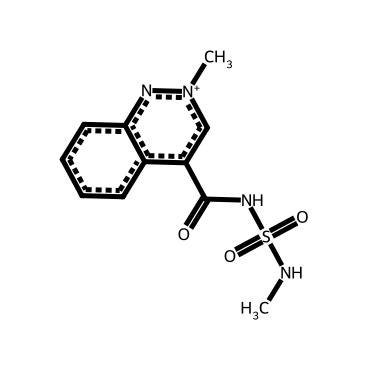 CNS(=O)(=O)NC(=O)c1c[n+](C)nc2ccccc12